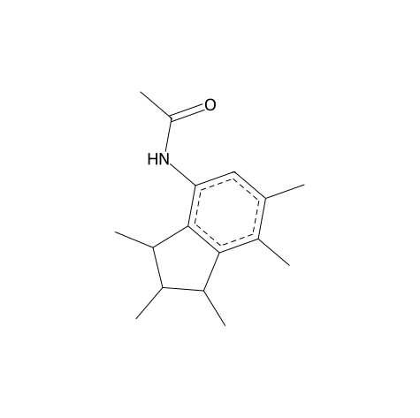 CC(=O)Nc1cc(C)c(C)c2c1C(C)C(C)C2C